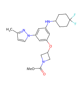 COC(=O)N1CC(Oc2cc(NC3CCC(F)(F)CC3)cc(-n3ccc(C)n3)c2)C1